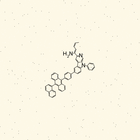 C/C=C\C=C(/N)c1cc2c3cc(-c4ccc(-c5c6ccccc6c(-c6cccc7ccccc67)c6ccccc56)cc4)ccc3n(-c3ccccc3)c2cn1